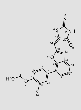 CCOc1ncc(-c2cncc3cc(/C=C4/SC(=S)NC4=O)oc23)cc1Cl